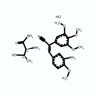 COc1ccc(/C=C(/C#N)c2cc(OC)c(OC)c(OC)c2)cc1N.C[C@@H](O)[C@H](N)C(N)=O.Cl